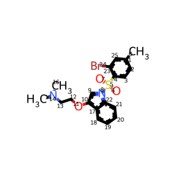 Cc1ccc(S(=O)(=O)n2cc(OCCN(C)C)c3ccccc32)c(Br)c1